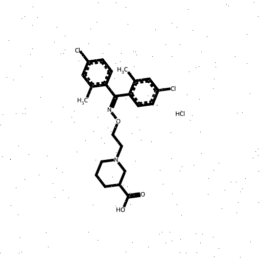 Cc1cc(Cl)ccc1C(=NOCCN1CCCC(C(=O)O)C1)c1ccc(Cl)cc1C.Cl